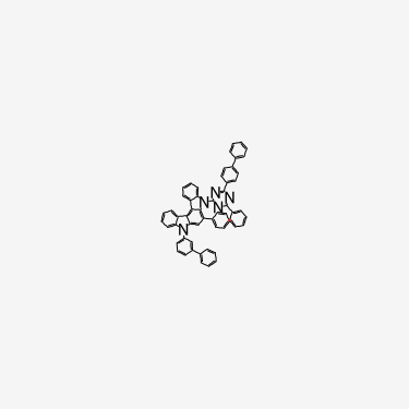 c1ccc(-c2ccc(-c3nc(-c4ccccc4)nc(-n4c5ccccc5c5c6c7ccccc7n(-c7cccc(-c8ccccc8)c7)c6cc(-c6ccccc6)c54)n3)cc2)cc1